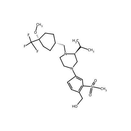 CO[C@]1(C(F)(F)F)CC[C@H](CN2CCN(c3ccc(CO)c(S(C)(=O)=O)c3)C[C@@H]2C(C)C)CC1